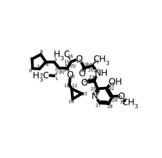 CC[C@H](CC1CCCC1)[C@@H](OCC1CC1)[C@H](C)OC(=O)[C@H](C)NC(=O)c1nccc(OC)c1O